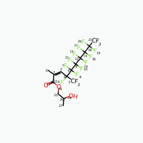 CC(=CC(F)(C(F)(F)F)C(F)(F)C(F)(F)C(F)(F)C(F)(F)C(F)(F)C(F)(F)F)C(=O)OCC(C)O